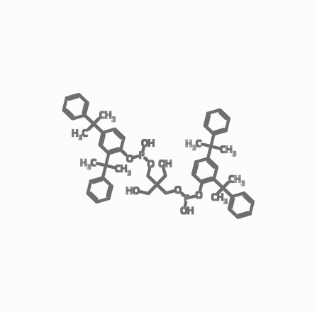 CC(C)(c1ccccc1)c1ccc(OP(O)OCC(CO)(CO)COP(O)Oc2ccc(C(C)(C)c3ccccc3)cc2C(C)(C)c2ccccc2)c(C(C)(C)c2ccccc2)c1